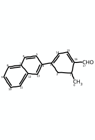 CC1CC(c2ccc3ccccc3c2)=CC=C1C=O